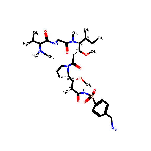 CC[C@H](C)[C@@H]([C@@H](CC(=O)N1CCC[C@H]1[C@H](OC)[C@@H](C)C(=O)NS(=O)(=O)c1ccc(CN)cc1)OC)N(C)C(=O)CNC(=O)C(C(C)C)N(C)C